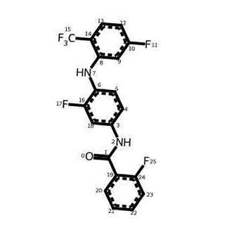 O=C(Nc1ccc(Nc2cc(F)ccc2C(F)(F)F)c(F)c1)c1ccccc1F